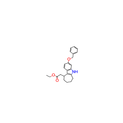 CCOC(=O)CC1CCCCc2[nH]c3cc(OCc4ccccc4)ccc3c21